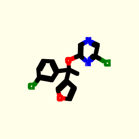 CC(Oc1cncc(Cl)n1)(c1ccoc1)c1cccc(Cl)c1